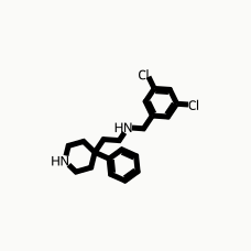 Clc1cc(Cl)cc(CNCCC2(c3ccccc3)CCNCC2)c1